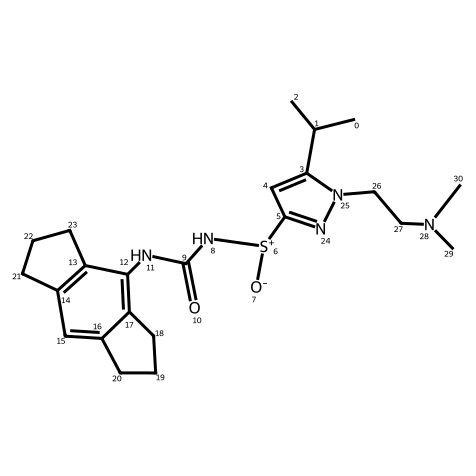 CC(C)c1cc([S+]([O-])NC(=O)Nc2c3c(cc4c2CCC4)CCC3)nn1CCN(C)C